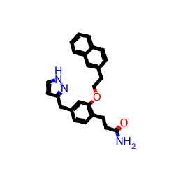 NC(=O)CCc1ccc(Cc2cc[nH]n2)cc1OCCc1ccc2ccccc2c1